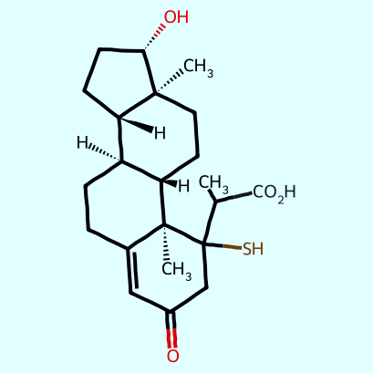 CC(C(=O)O)C1(S)CC(=O)C=C2CC[C@H]3[C@@H]4CC[C@H](O)[C@@]4(C)CC[C@@H]3[C@]21C